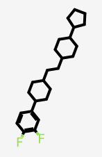 Fc1ccc(C2CCC(CCC3CCC(C4CCCC4)CC3)CC2)cc1F